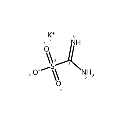 N=C(N)S(=O)(=O)[O-].[K+]